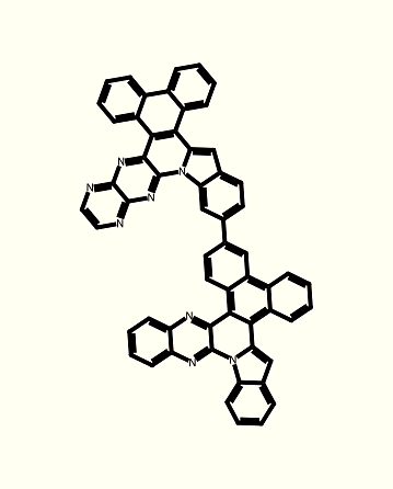 c1ccc2c(c1)cc1c3c4ccccc4c4cc(-c5ccc6cc7c8c9ccccc9c9ccccc9c8c8nc9nccnc9nc8n7c6c5)ccc4c3c3nc4ccccc4nc3n21